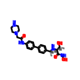 C[C@@H](N[C@H](C(=O)NO)[C@@H](C)O)c1ccc(-c2ccc(NC(=O)CN3CCNCC3)cc2)cc1